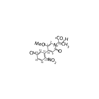 COc1cn(C(C)C(=O)O)c(=O)cc1-c1cc(Cl)ccc1[N+](=O)[O-]